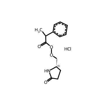 CC(C(=O)OOC[C@@H]1CCC(=O)N1)c1ccccc1.Cl